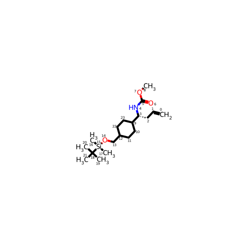 C=CC[C@@H](NC(=O)OC)C1CCC(CO[Si](C)(C)C(C)(C)C)CC1